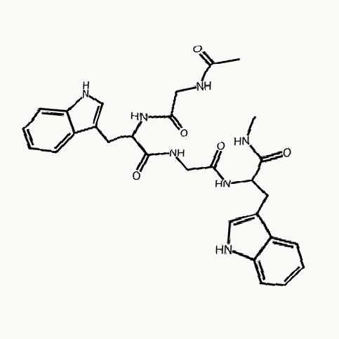 CNC(=O)C(Cc1c[nH]c2ccccc12)NC(=O)CNC(=O)C(Cc1c[nH]c2ccccc12)NC(=O)CNC(C)=O